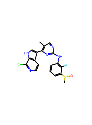 Cc1cnc(Nc2cccc([S+](C)[O-])c2F)nc1-c1c[nH]c2c(Cl)nccc12